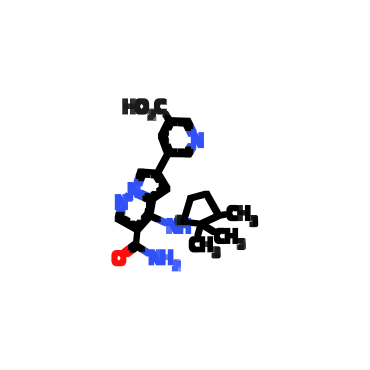 CC1CC[C@@H](Nc2c(C(N)=O)cnn3cc(-c4cncc(C(=O)O)c4)cc23)C1(C)C